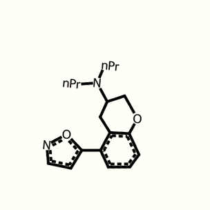 CCCN(CCC)C1COc2cccc(-c3ccno3)c2C1